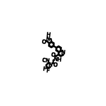 N#CC1CC(F)(F)CN1C(=O)CNC(=O)c1ccnc2ccc(-c3ccc4c(c3)CNC4=O)cc12